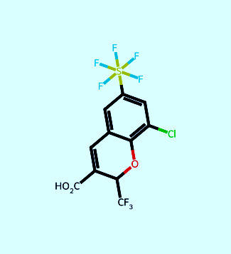 O=C(O)C1=Cc2cc(S(F)(F)(F)(F)F)cc(Cl)c2OC1C(F)(F)F